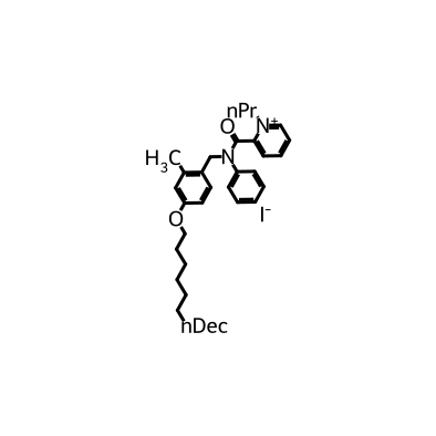 CCCCCCCCCCCCCCCCOc1ccc(CN(C(=O)c2cccc[n+]2CCC)c2ccccc2)c(C)c1.[I-]